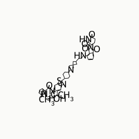 Cc1cccc(C(=O)Nc2cc3sc(C4CCC(N5CC6(CC(CCNc7cccc8c7C(=O)N(C7CCC(=O)NC7=O)C8=O)C6)C5)CC4)nc3cc2C(C)(C)O)n1